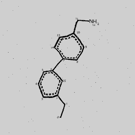 CCc1cccc(-c2ccc(CN)cc2)c1